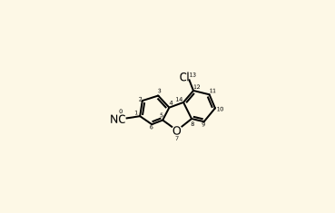 N#Cc1ccc2c(c1)oc1cccc(Cl)c12